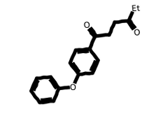 [CH2]CC(=O)CCC(=O)c1ccc(Oc2ccccc2)cc1